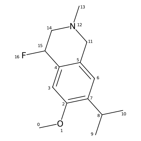 COc1cc2c(cc1C(C)C)CN(C)CC2F